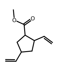 C=CC1CC(C=C)C(C(=O)OC)C1